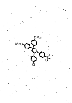 COc1ccc(C2(c3ccc(OC)cc3)CN(c3ccc(S(C)(=O)=O)cc3)C(c3ccc(Cl)cc3)=N2)cc1